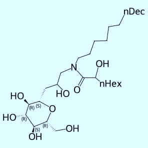 CCCCCCCCCCCCCCCCN(CC(O)C[C@@H]1O[C@H](CO)[C@@H](O)[C@H](O)[C@H]1O)C(=O)C(O)CCCCCC